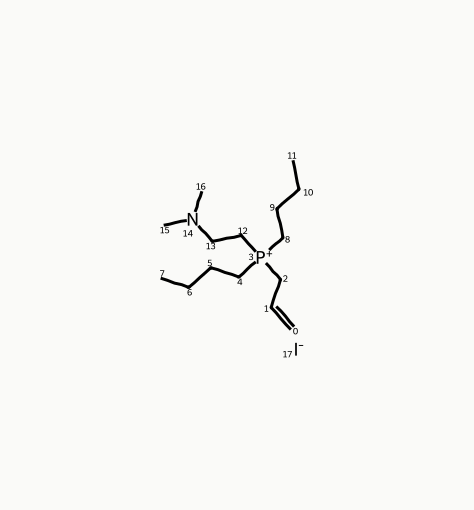 C=CC[P+](CCCC)(CCCC)CCN(C)C.[I-]